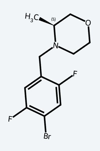 C[C@H]1COCCN1Cc1cc(F)c(Br)cc1F